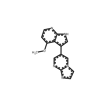 COc1ccnc2[nH]cc(-c3cnc4nccn4c3)c12